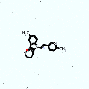 Cc1ccc2c(c1)c1c(n2/C=C/c2ccc(C)nc2)C2CCN(CC2)C1